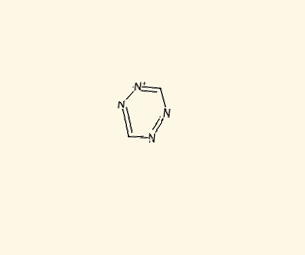 C1=N[N+]=CN=N1